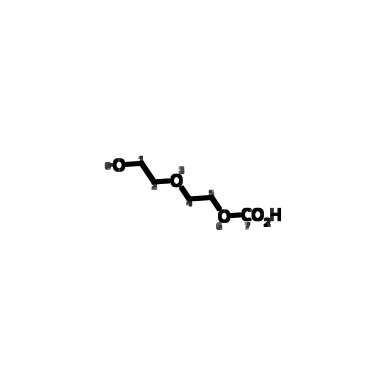 [O]CCOCCOC(=O)O